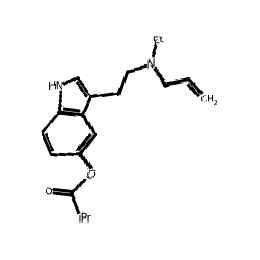 C=CCN(CC)CCc1c[nH]c2ccc(OC(=O)C(C)C)cc12